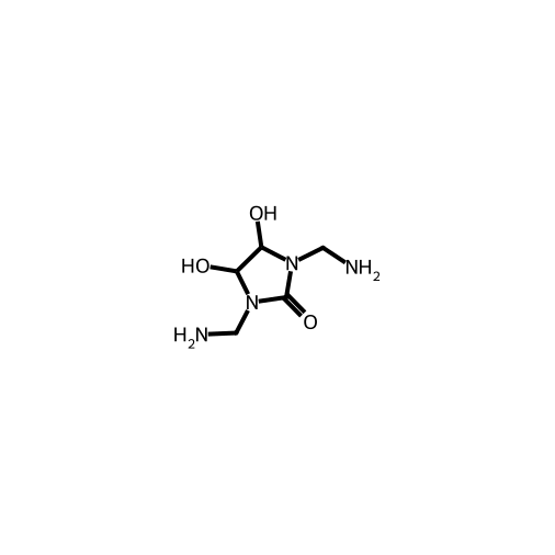 NCN1C(=O)N(CN)C(O)C1O